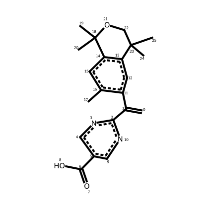 C=C(c1ncc(C(=O)O)cn1)c1cc2c(cc1C)C(C)(C)OCC2(C)C